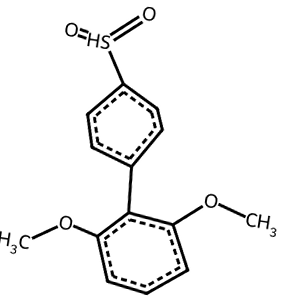 COc1cccc(OC)c1-c1ccc([SH](=O)=O)cc1